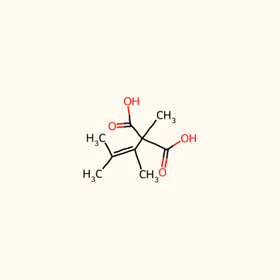 CC(C)=C(C)C(C)(C(=O)O)C(=O)O